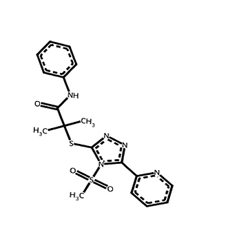 CC(C)(Sc1nnc(-c2ccccn2)n1S(C)(=O)=O)C(=O)Nc1ccccc1